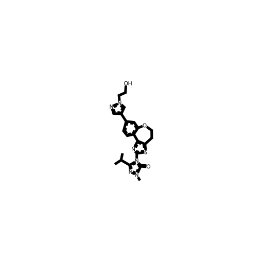 CC(C)c1nn(C)c(=O)n1-c1nc2c(s1)CCOc1cc(-c3cnn(CCO)c3)ccc1-2